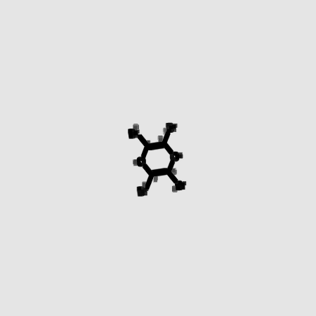 BrC1=C(Br)OC(Br)=C(Br)O1